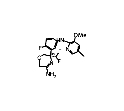 COc1cc(C)cnc1Nc1ccc(F)c([C@]2(C(F)F)COCC(N)=N2)c1